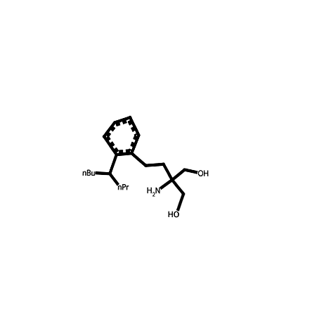 CCCCC(CCC)c1ccccc1CCC(N)(CO)CO